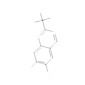 CC(C)(C)c1ncc2cc(O)c(O)cc2n1